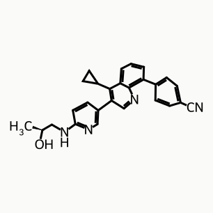 C[C@H](O)CNc1ccc(-c2cnc3c(-c4ccc(C#N)cc4)cccc3c2C2CC2)cn1